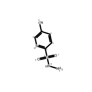 N#Cc1ccc(S(=O)(=O)NN)nc1